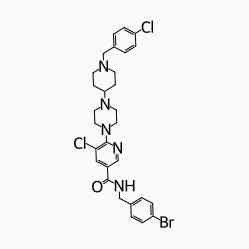 O=C(NCc1ccc(Br)cc1)c1cnc(N2CCN(C3CCN(Cc4ccc(Cl)cc4)CC3)CC2)c(Cl)c1